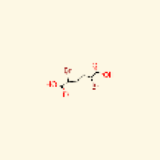 O=C(O)C(Br)CCC(Br)C(=O)O